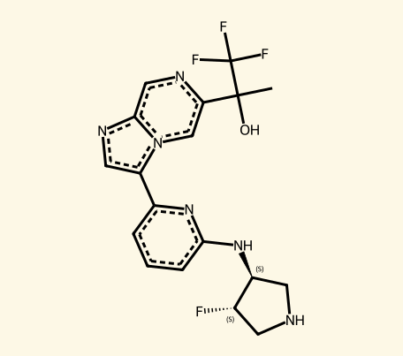 CC(O)(c1cn2c(-c3cccc(N[C@H]4CNC[C@@H]4F)n3)cnc2cn1)C(F)(F)F